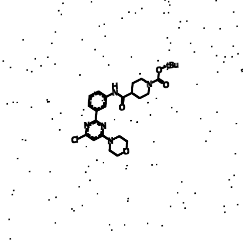 CC(C)(C)OC(=O)N1CCC(C(=O)Nc2cccc(-c3nc(Cl)cc(N4CCOCC4)n3)c2)CC1